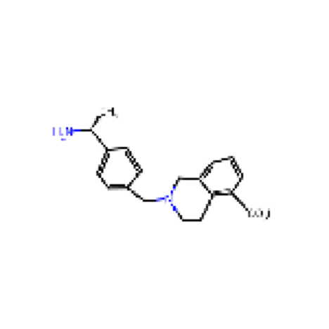 C[C@H](N)c1ccc(CN2CCc3c(cccc3C(=O)O)C2)cc1